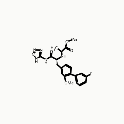 COc1cc(C[C@H](NC(C)C(=O)OC(C)(C)C)C(=O)Nc2nnn[nH]2)ccc1-c1cccc(F)c1